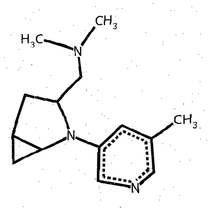 Cc1cncc(N2C(CN(C)C)CC3CC32)c1